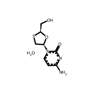 Nc1ccn([C@H]2CS[C@@H](CO)O2)c(=O)n1.O